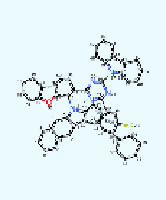 c1ccc2cc3c(cc2c1)c1ccccc1n3-c1c(-c2nc(-c3ccc4c(c3)sc3ccccc34)nc(-n3c4ccccc4c4ccccc43)n2)ccc2c1oc1ccccc12